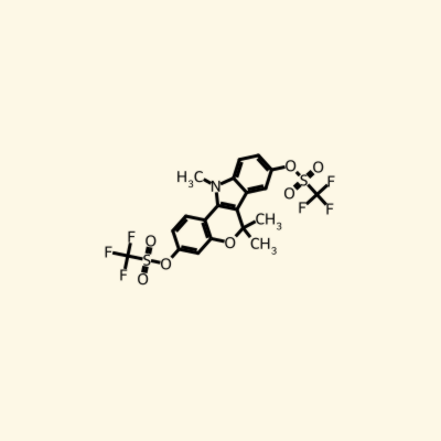 Cn1c2c(c3cc(OS(=O)(=O)C(F)(F)F)ccc31)C(C)(C)Oc1cc(OS(=O)(=O)C(F)(F)F)ccc1-2